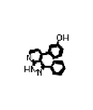 Oc1cccc(-c2ccnc3[nH]nc(-c4ccccc4)c23)c1